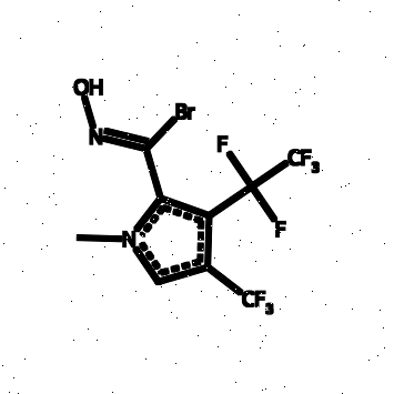 Cn1cc(C(F)(F)F)c(C(F)(F)C(F)(F)F)c1C(Br)=NO